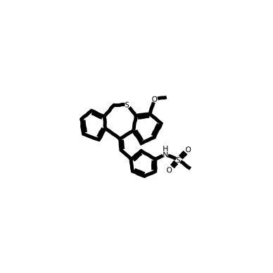 COc1cccc2c1SCc1ccccc1/C2=C/c1cccc(NS(C)(=O)=O)c1